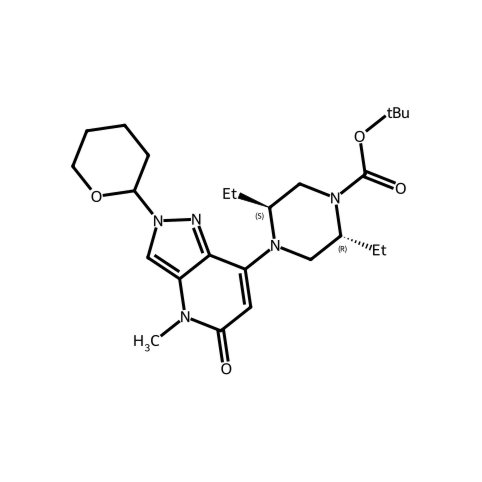 CC[C@@H]1CN(c2cc(=O)n(C)c3cn(C4CCCCO4)nc23)[C@@H](CC)CN1C(=O)OC(C)(C)C